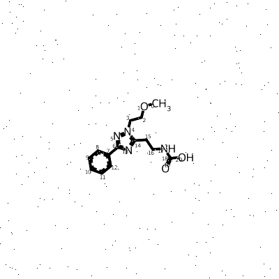 COCCn1nc(-c2ccccc2)nc1CCNC(=O)O